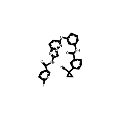 N#CC1(c2cccc(C(=O)Nc3cccc(Oc4ccc5nc(NC(=O)c6ccc(F)nc6)cn5n4)c3)c2)CC1